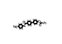 CCCC(=O)Oc1ccc(-c2ccc(C(=O)Sc3ccc(C#N)cc3)cc2)cc1